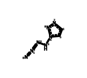 [N-]=[N+]=NNn1ccnn1